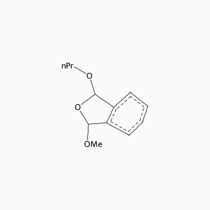 CCCOC1OC(OC)c2ccccc21